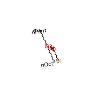 CCCCC/C=C\C/C=C\CCCCCCCCOC(CCCCCCC/C=C\CCCCCCCC)O[Si](C)(C)OCCCCCCBr